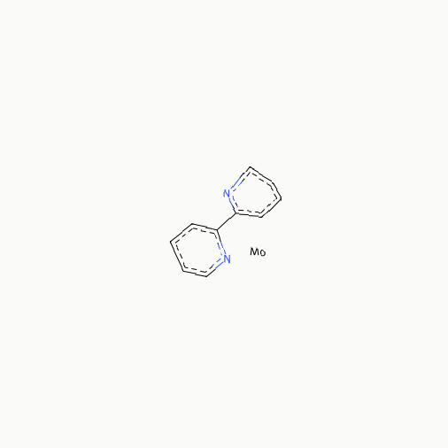 [Mo].c1ccc(-c2ccccn2)nc1